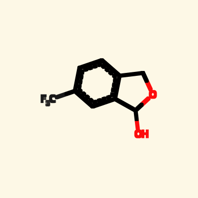 OC1OCc2ccc(C(F)(F)F)cc21